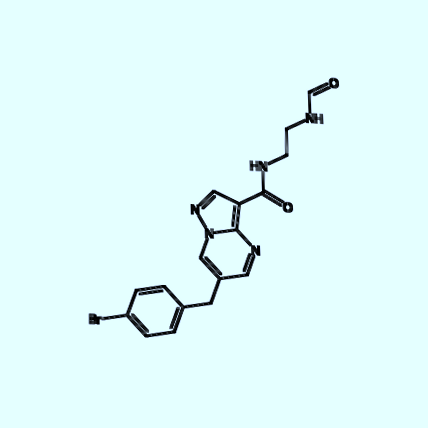 O=CNCCNC(=O)c1cnn2cc(Cc3ccc(Br)cc3)cnc12